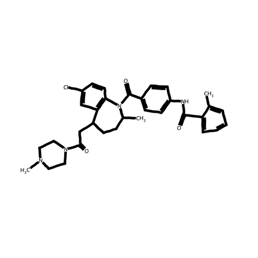 Cc1ccccc1C(=O)Nc1ccc(C(=O)N2c3ccc(Cl)cc3C(CC(=O)N3CCN(C)CC3)CCC2C)cc1